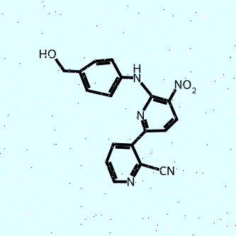 N#Cc1ncccc1-c1ccc([N+](=O)[O-])c(Nc2ccc(CO)cc2)n1